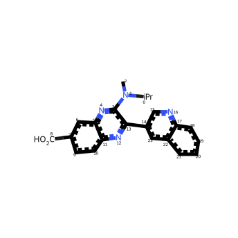 CC(C)N(C)c1nc2cc(C(=O)O)ccc2nc1-c1cnc2ccccc2c1